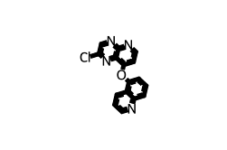 Clc1cnc2nccc(Oc3cccc4ncccc34)c2n1